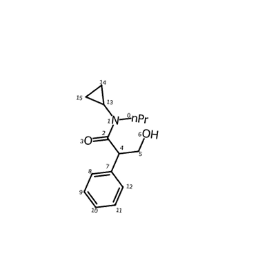 CCCN(C(=O)C(CO)c1ccccc1)C1CC1